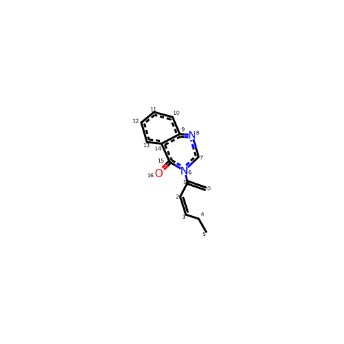 C=C(/C=C\CC)n1cnc2ccccc2c1=O